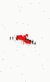 CCN(CC(=O)Oc1ccccc1)[C@H]1CO[C@@H](O[C@H]2[C@H](O[C@H]3C#C/C=C\C#C[C@]4(O)CC(=O)C(NC(=O)OC)=C3/C4=C\CSSC(C)C)O[C@H](C)[C@@H](NO[C@H]3C[C@H](O)[C@H](SC(=O)c4c(C)c(I)c(O[C@@H]5O[C@@H](C)[C@H](O)[C@@H](OC)[C@H]5O)c(OC)c4OC)[C@@H](C)O3)[C@@H]2O)C[C@@H]1OC